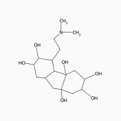 CN(C)CCC1C(O)C(O)CC2CC3(O)CC(O)C(O)CC3(O)C21